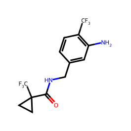 Nc1cc(CNC(=O)C2(C(F)(F)F)CC2)ccc1C(F)(F)F